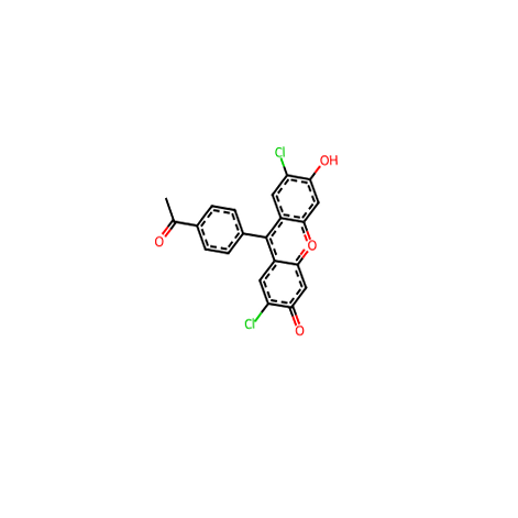 CC(=O)c1ccc(-c2c3cc(Cl)c(=O)cc-3oc3cc(O)c(Cl)cc23)cc1